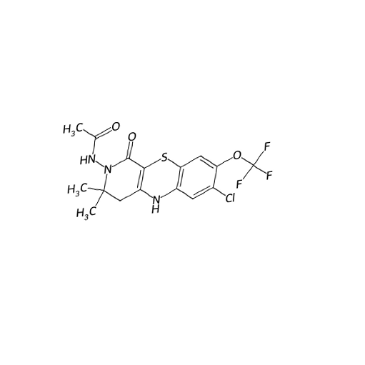 CC(=O)NN1C(=O)C2=C(CC1(C)C)Nc1cc(Cl)c(OC(F)(F)F)cc1S2